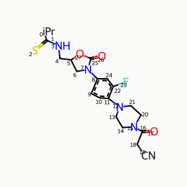 CC(C)C(=S)NCC1CN(c2ccc(N3CCN(C(=O)CC#N)CC3)c(F)c2)C(=O)O1